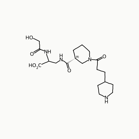 O=C(CO)NC(CNC(=O)[C@@H]1CCCN(C(=O)CCC2CCNCC2)C1)C(=O)O